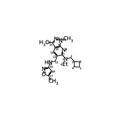 CCN(CC1CCC1)c1nc2c(cc1CNc1cc(C)on1)c(C)nn2C